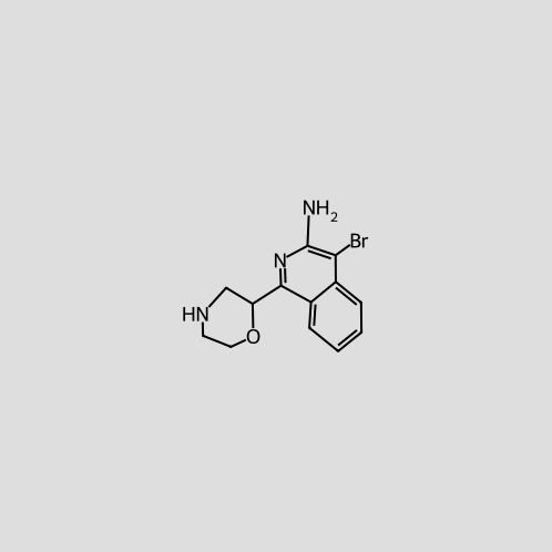 Nc1nc(C2CNCCO2)c2ccccc2c1Br